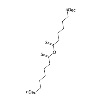 CCCCCCCCCCCCCCCC(=S)OC(=S)CCCCCCCCCCCCCCC